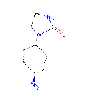 N[C@H]1CC[C@H](N2CCNC2=O)CC1